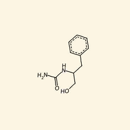 NC(=O)NC(CO)Cc1ccccc1